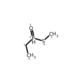 CC[PH](=O)SC